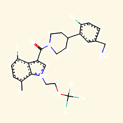 Cc1ccc(F)c2c(C(=O)N3CCC(c4cc(CN)ccc4F)CC3)cn(CCOC(F)(F)F)c12